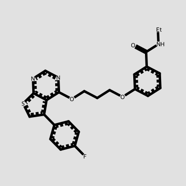 CCNC(=O)c1cccc(OCCCOc2ncnc3scc(-c4ccc(F)cc4)c23)c1